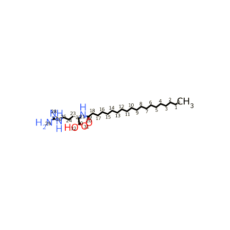 CCCCCCCCCCCCCCCCCCCC(=O)N[C@@H](CCCNC(=N)N)C(=O)O